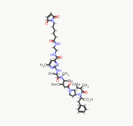 CCC(C)C(C(CC(=O)N1CCC[C@H]1C(OC)C(C)C(=O)NC(Cc1ccccc1)C(=O)O)OC)N(C)C(=O)C(Nc1nc(C)cc(C(=O)NCCNC(=O)CCCCCN2C(=O)C=CC2=O)n1)C(C)C